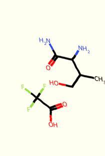 CC(CO)C(N)C(N)=O.O=C(O)C(F)(F)F